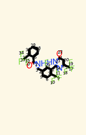 O=C(NCc1ccc(C(F)(F)F)c(-c2nc(C(F)(F)F)cc(=O)[nH]2)c1F)c1ccccc1C(F)(F)F